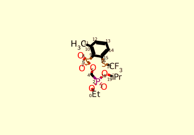 CCOP(=O)(COS(=O)(=O)c1c(C)cccc1SC(F)(F)F)OC(C)C